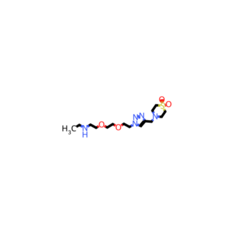 CCNCCOCCOCCn1cc(CN2CCS(=O)(=O)CC2)nn1